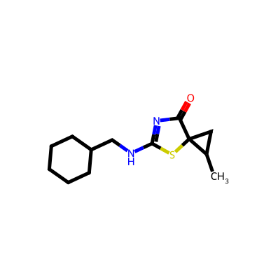 CC1CC12SC(NCC1CCCCC1)=NC2=O